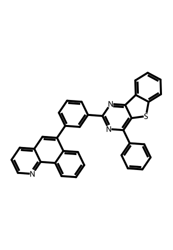 c1ccc(-c2nc(-c3cccc(-c4cc5cccnc5c5ccccc45)c3)nc3c2sc2ccccc23)cc1